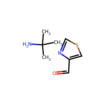 CC(C)(C)N.O=Cc1cscn1